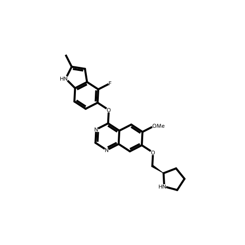 COc1cc2c(Oc3ccc4[nH]c(C)cc4c3F)ncnc2cc1OC[C@H]1CCCN1